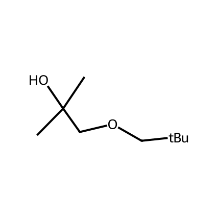 CC(C)(C)COCC(C)(C)O